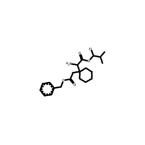 CC(C)C(Cl)OC(=O)C(N)C1(CC(=O)OCc2ccccc2)CCCCC1